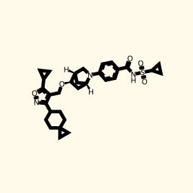 O=C(NS(=O)(=O)C1CC1)c1ccc(N2C[C@@H]3C[C@H]2C[C@H]3OCc2c(C3CCC4(CC3)CC4)noc2C2CC2)cc1